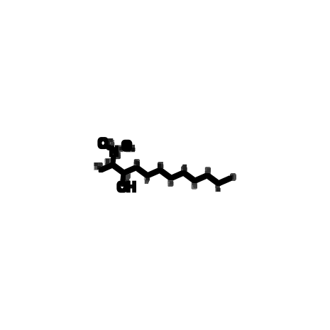 CCCCCCCCCC(O)C(C)[N+](=O)[O-]